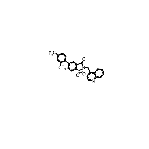 O=C1c2cc(-c3ccc(C(F)(F)F)cc3C(F)(F)F)ccc2S(=O)(=O)N1Cc1ccnc2ccccc12